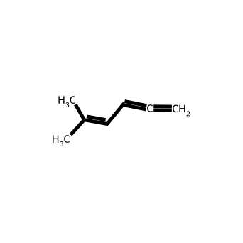 C=C=CC=C(C)C